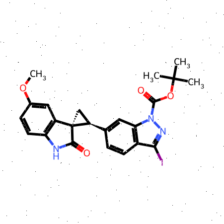 COc1ccc2c(c1)[C@]1(C[C@H]1c1ccc3c(I)nn(C(=O)OC(C)(C)C)c3c1)C(=O)N2